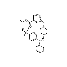 CCOC(=O)c1ccnc(CN2CCC(OC(c3ccccc3)c3ccc(C(F)(F)F)cc3)CC2)c1